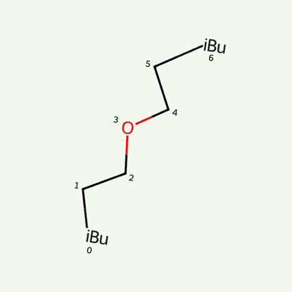 CCC(C)CCOCCC(C)CC